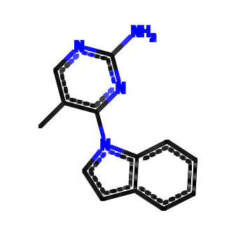 Cc1cnc(N)nc1-n1ccc2ccccc21